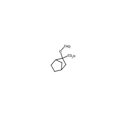 O=[C]OC1(C(=O)O)CC2CCC1C2